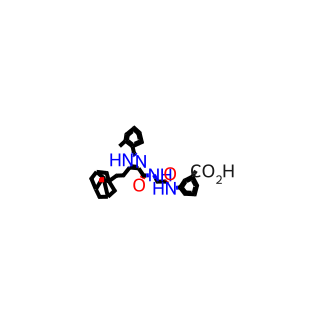 Cc1ccccc1-c1nc(C(=O)NCC(=O)Nc2cccc(C(=O)O)c2)c(CCC23CC4CC(CC(C4)C2)C3)[nH]1